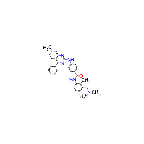 Cc1c(CN(C)C)cccc1NC(=O)c1ccc(Nc2nc(-c3ccccc3)c3c(n2)=CC(C)CC=3)cc1